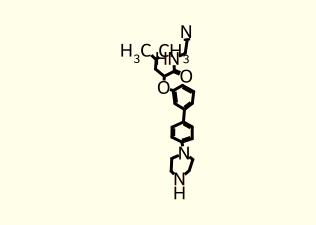 CC(C)CC(Oc1cccc(-c2ccc(N3CCNCC3)cc2)c1)C(=O)NCC#N